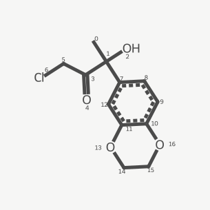 CC(O)(C(=O)CCl)c1ccc2c(c1)OCCO2